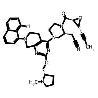 CC#C[C@H]1O[C@@H]1C(=O)N1CCN(c2nc(OC[C@@H]3CCCN3C)nc3c2CCN(c2cccc4cccc(Cl)c24)C3)C[C@@H]1CC#N